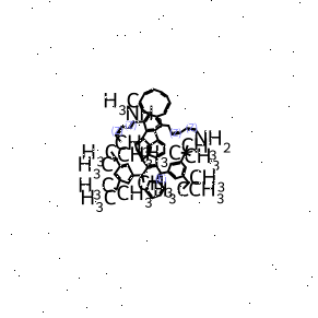 C/C=C\C=C(/N)c1c2c(c(C/C=C\C=C/N)c3ccccccc(C)cc13)-c1ccc3c4c(ccc-2c14)C(C(C)c1cc(C(C)(C)C)cc(C(C)(C)C)c1)=C3/C(=C1/C=CC=CC1)c1cc(C(C)(C)C)cc(C(C)(C)C)c1